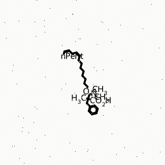 CCCCC/C=C\C/C=C\CCCCCCCCOC(N(C)C)C(C)(Cc1ccccc1)C(=O)O